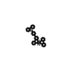 c1ccc2c(c1)c1ccccc1c1c2nc2c3ccccc3c3cc(-c4ccc(-n5c6ccccc6c6ccccc65)cc4)ccc3n21